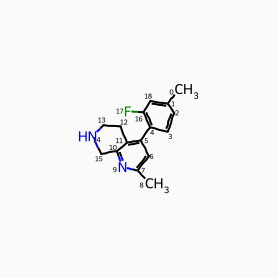 Cc1ccc(-c2cc(C)nc3c2CCNC3)c(F)c1